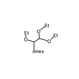 CCCCCCC(OCC)[C](OCC)OCC